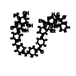 CCOc1cc(N2CCC(C(=O)N3CCC(CN4CCN(Cc5ccc(N(C(=N)c6cc(C(C)C)c(O)cc6O)C(N)=O)cc5)CC4)CC3)CC2)ccc1N(CC)c1ncc2c(n1)Nc1ccccc1C(=O)N2C